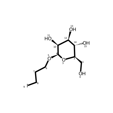 OC[C@H]1O[C@@H](OCCCI)[C@@H](O)[C@@H](O)[C@@H]1O